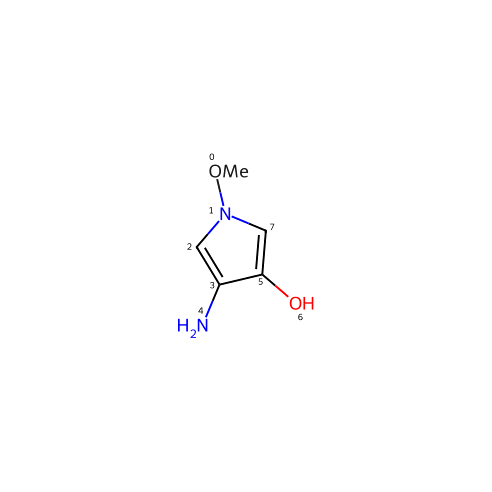 COn1cc(N)c(O)c1